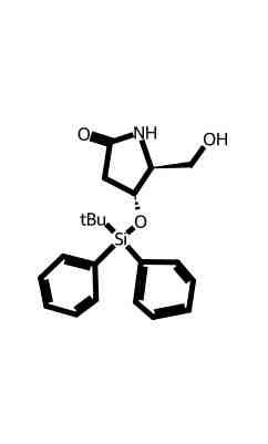 CC(C)(C)[Si](O[C@@H]1CC(=O)N[C@H]1CO)(c1ccccc1)c1ccccc1